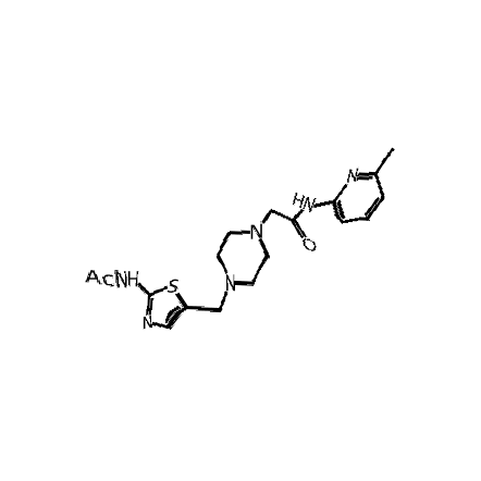 CC(=O)Nc1ncc(CN2CCN(CC(=O)Nc3cccc(C)n3)CC2)s1